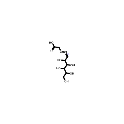 O=C(O)CO/N=C\C(O)C(O)C(O)C(O)CO